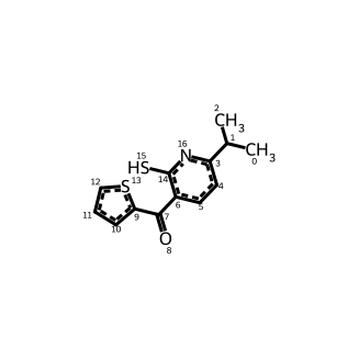 CC(C)c1ccc(C(=O)c2cccs2)c(S)n1